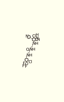 O=C(CCNCc1ccc(OC(F)(F)F)c(Cl)c1)NCCCNc1cc(-c2ccncc2)c(Cl)c2[nH]ncc12